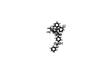 CCN(CC)C(=O)NC1(c2ccccc2Cl)C(=O)N(S(=O)(=O)c2ccc(NC(=O)Oc3ccccc3)cc2)c2ccc(Cl)cc21